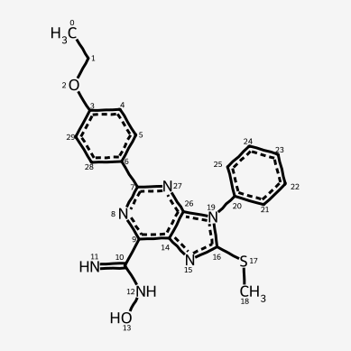 CCOc1ccc(-c2nc(C(=N)NO)c3nc(SC)n(-c4ccccc4)c3n2)cc1